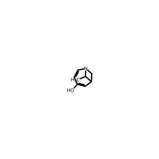 CC1C2C=C(O)C=CN1C2